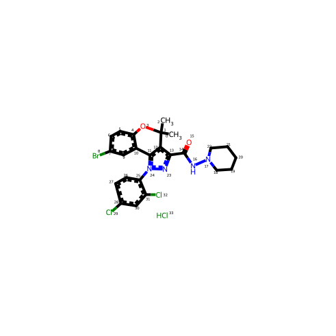 CC1(C)Oc2ccc(Br)cc2-c2c1c(C(=O)NN1CCCCC1)nn2-c1ccc(Cl)cc1Cl.Cl